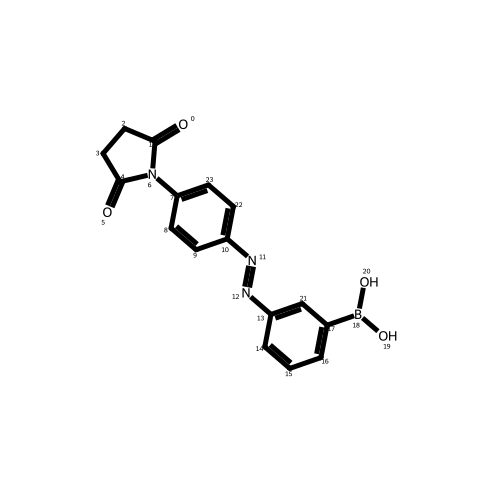 O=C1CCC(=O)N1c1ccc(N=Nc2cccc(B(O)O)c2)cc1